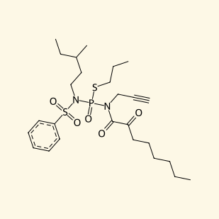 C#CCN(C(=O)C(=O)CCCCCC)P(=O)(SCCC)N(CCC(C)CC)S(=O)(=O)c1ccccc1